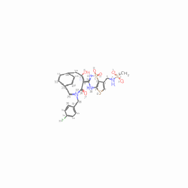 CS(=O)(=O)NCc1csc2c1S(=O)(=O)N=C(/C1=C(\O)CC3CCC(CC3)CN(Cc3ccc(F)cc3)C1=O)N2